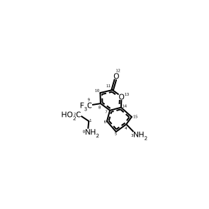 NCC(=O)O.Nc1ccc2c(C(F)(F)F)cc(=O)oc2c1